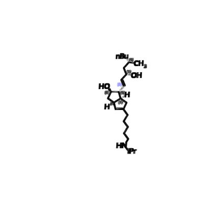 CCCC[C@H](C)C[C@H](O)/C=C/[C@@H]1[C@H]2CC(CCCCCNC(C)C)=C[C@H]2C[C@H]1O